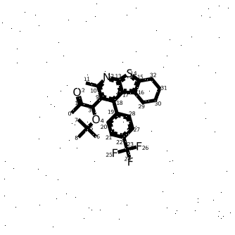 CC(=O)C(OC(C)(C)C)c1c(C)nc2sc3c(c2c1-c1ccc(C(F)(F)F)cc1)CCCC3